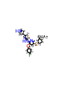 COc1cccc(Sc2cnc(Nc3nc(C4CCNCC4)cs3)c(Oc3ccc(F)cc3)c2)c1